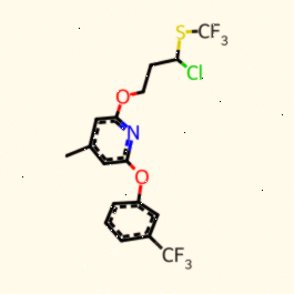 Cc1cc(OCCC(Cl)SC(F)(F)F)nc(Oc2cccc(C(F)(F)F)c2)c1